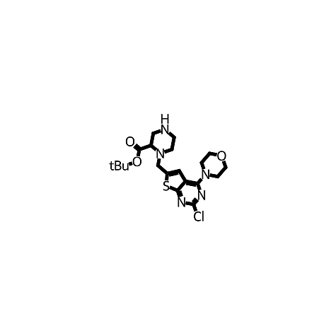 CC(C)(C)OC(=O)C1CNCCN1Cc1cc2c(N3CCOCC3)nc(Cl)nc2s1